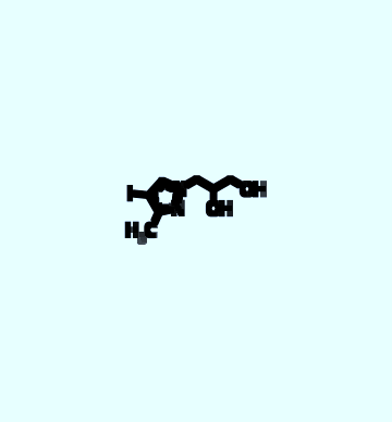 Cc1nn(CC(O)CO)cc1I